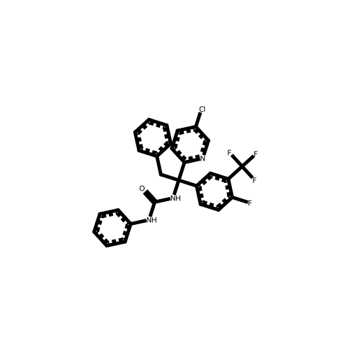 O=C(Nc1ccccc1)NC(Cc1ccccc1)(c1ccc(F)c(C(F)(F)F)c1)c1ccc(Cl)cn1